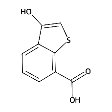 O=C(O)c1cccc2c(O)csc12